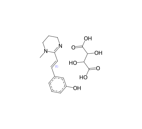 CN1CCCN=C1/C=C/c1cccc(O)c1.O=C(O)C(O)C(O)C(=O)O